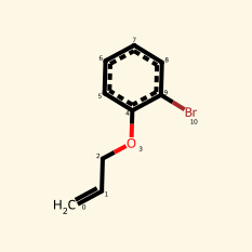 C=CCOc1ccccc1Br